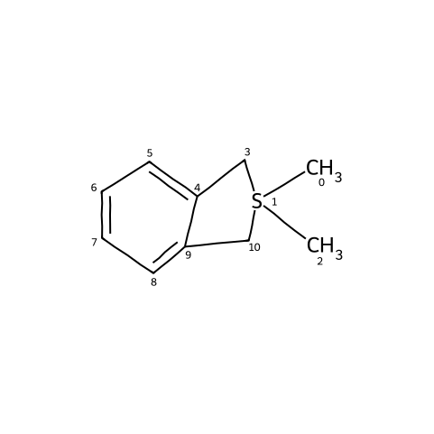 CS1(C)Cc2ccccc2C1